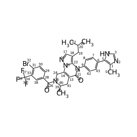 Cc1nc[nH]c1-c1ccc(-n2c(=O)c3c(n4ncc(CC(C)C)c24)CN(C(=O)c2ccc(Br)c(C(F)(F)F)c2)[C@H](C)C3)cc1